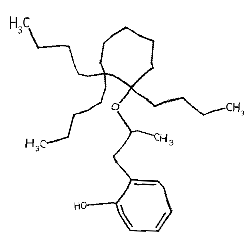 CCCCC1(CCCC)CCCCC1(CCCC)OC(C)Cc1ccccc1O